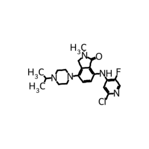 CC(C)N1CCN(c2ccc(Nc3cc(Cl)ncc3F)c3c2CN(C)C3=O)CC1